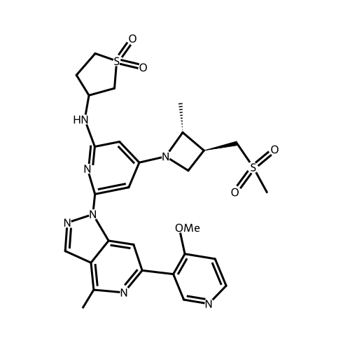 COc1ccncc1-c1cc2c(cnn2-c2cc(N3C[C@H](CS(C)(=O)=O)[C@H]3C)cc(NC3CCS(=O)(=O)C3)n2)c(C)n1